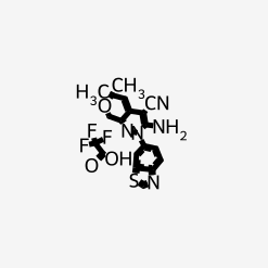 CC1(C)C=C2C(=NN(c3ccc4ncsc4c3)C(N)=C2C#N)CO1.O=C(O)C(F)(F)F